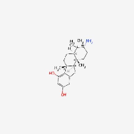 CC1(C)[C@H](N)CC[C@]2(C)[C@H]3Cc4cc(O)cc(O)c4[C@]3(C)CC[C@@H]12